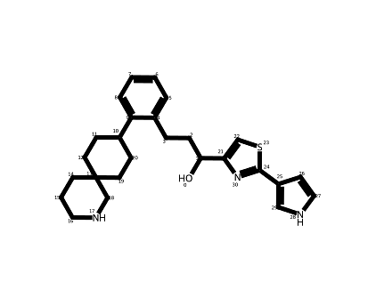 OC(CCc1ccccc1C1CCC2(CCCNC2)CC1)c1csc(-c2cc[nH]c2)n1